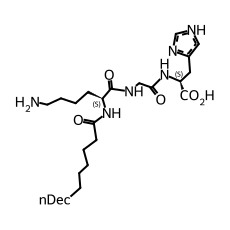 CCCCCCCCCCCCCCCC(=O)N[C@@H](CCCCN)C(=O)NCC(=O)N[C@@H](Cc1c[nH]cn1)C(=O)O